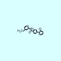 CCc1ccnc(NC(=O)c2ccc(-c3ncccc3Cl)cc2)c1